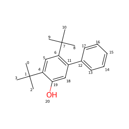 CC(C)(C)c1cc(C(C)(C)C)c(-c2ccccc2)cc1O